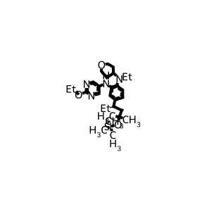 CCOc1ncc(Nc2cc([C@@H](CC)CC(C)(C)O[Si](C)(C)C)ccc2N(CC)C2CCOCC2)cn1